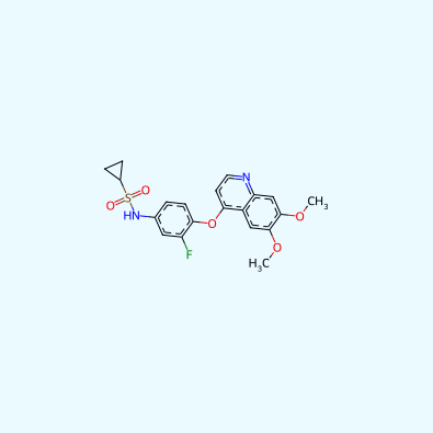 COc1cc2nccc(Oc3ccc(NS(=O)(=O)C4CC4)cc3F)c2cc1OC